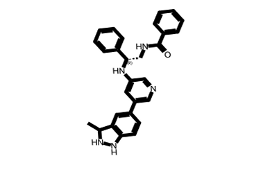 CC1NNc2ccc(-c3cncc(N[C@@H](CNC(=O)c4ccccc4)c4ccccc4)c3)cc21